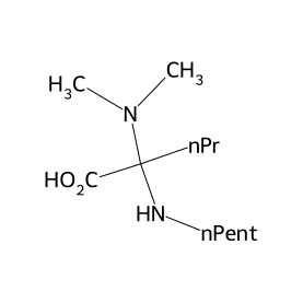 CCCCCNC(CCC)(C(=O)O)N(C)C